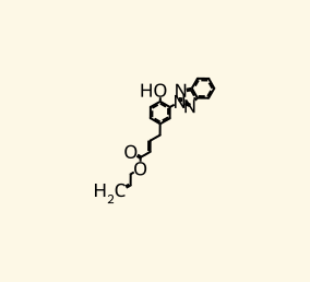 C=CCOC(=O)C=CCc1ccc(O)c(-n2nc3ccccc3n2)c1